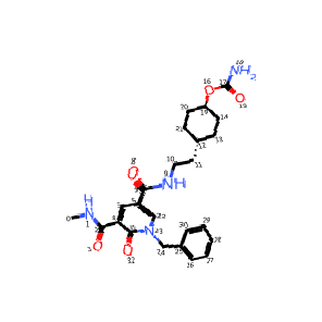 CNC(=O)c1cc(C(=O)NCC[C@H]2CC[C@H](OC(N)=O)CC2)cn(Cc2ccccc2)c1=O